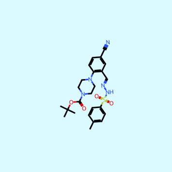 Cc1ccc(S(=O)(=O)N/N=C/c2cc(C#N)ccc2N2CCN(C(=O)OC(C)(C)C)CC2)cc1